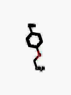 CSc1ccc(OCC(=O)O)cc1